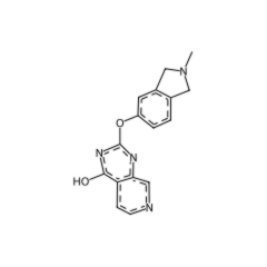 CN1Cc2ccc(Oc3nc(O)c4ccncc4n3)cc2C1